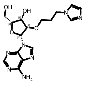 Nc1ncnc2c1ncn2[C@@H]1O[C@H](CO)[C@@H](O)[C@H]1OCCCn1ccnc1